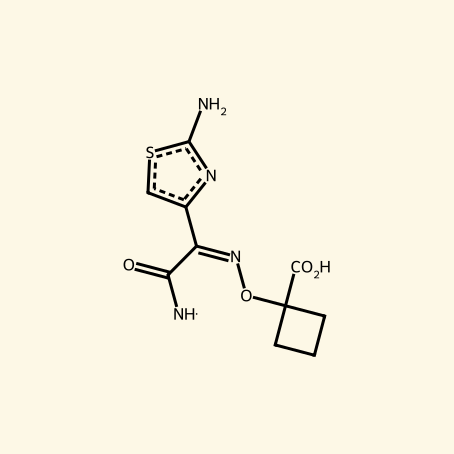 [NH]C(=O)/C(=N\OC1(C(=O)O)CCC1)c1csc(N)n1